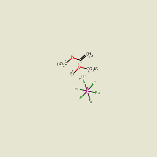 C=COC(=O)O.CCOC(=O)OCC.F[P-](F)(F)(F)(F)F.[Li+]